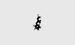 Cc1c(F)c(F)c(CC2C(C=C(F)F)C2(C)C)c(F)c1F